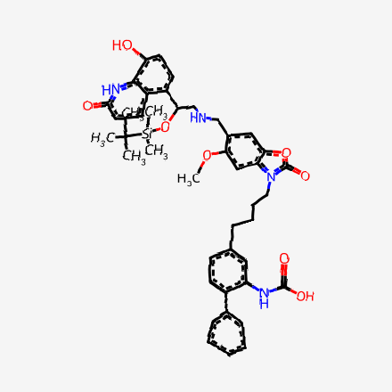 COc1cc2c(cc1CNCC(O[Si](C)(C)C(C)(C)C)c1ccc(O)c3[nH]c(=O)ccc13)oc(=O)n2CCCCc1ccc(-c2ccccc2)c(NC(=O)O)c1